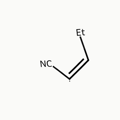 CC/C=[C]\C#N